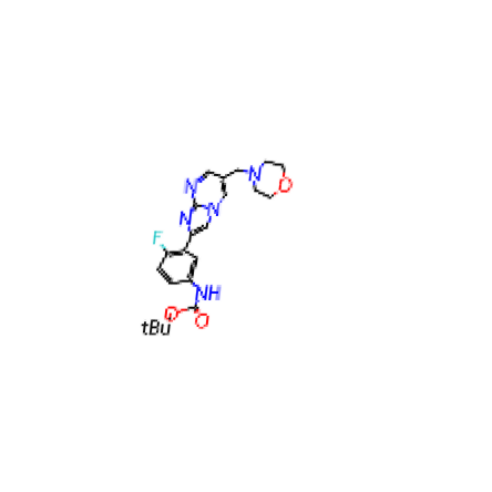 CC(C)(C)OC(=O)Nc1ccc(F)c(-c2cn3cc(CN4CCOCC4)cnc3n2)c1